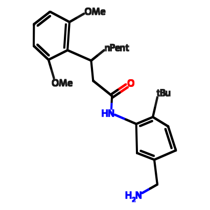 CCCCCC(CC(=O)Nc1cc(CN)ccc1C(C)(C)C)c1c(OC)cccc1OC